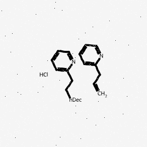 C=CCc1ccccn1.CCCCCCCCCCCCc1ccccn1.Cl